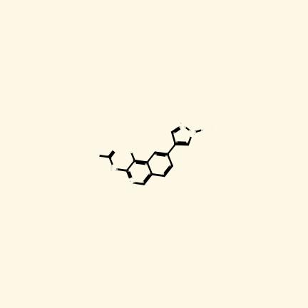 CCC(=O)Nc1ncc2ccc(-c3cnn(C)c3)cc2c1C